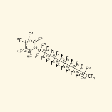 Fc1c(F)c(F)c(C(F)(F)C(F)(F)C(F)(F)C(F)(F)C(F)(F)C(F)(F)C(F)(F)C(F)(F)C(F)(F)C(F)(F)C(F)(F)F)c(F)c1F